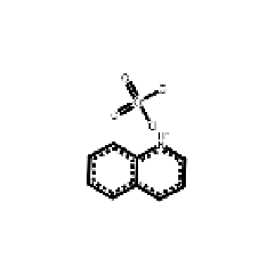 [O]=[Cr](=[O])([O-])[Cl].c1ccc2[nH+]cccc2c1